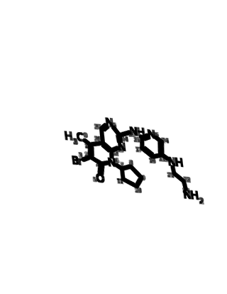 Cc1c(Br)c(=O)n(C2CCCC2)c2nc(Nc3ccc(NCCN)cn3)ncc12